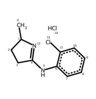 CC1CCC(Nc2ccccc2Cl)=N1.Cl